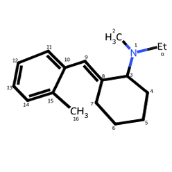 CCN(C)C1CCCCC1=Cc1ccccc1C